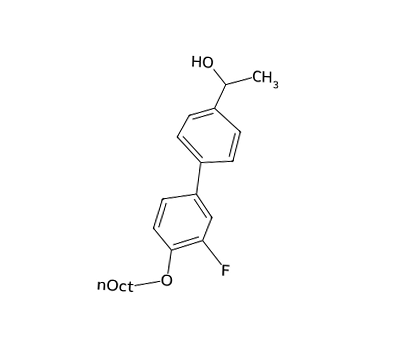 CCCCCCCCOc1ccc(-c2ccc(C(C)O)cc2)cc1F